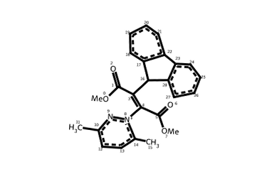 COC(=O)/C(=C(/C(=O)OC)[n+]1nc(C)ccc1C)C1c2ccccc2-c2ccccc21